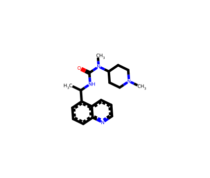 CC(NC(=O)N(C)C1CCN(C)CC1)c1cccc2ncccc12